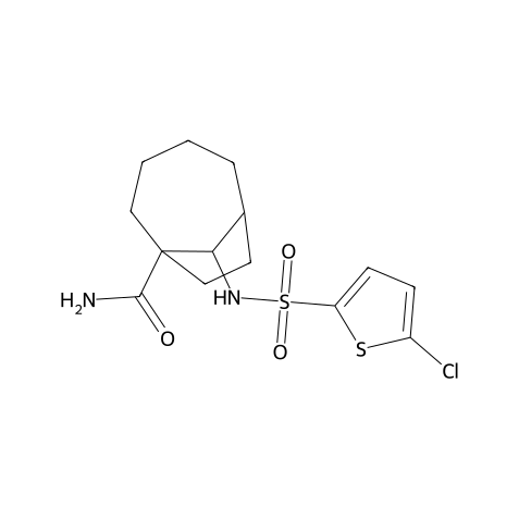 NC(=O)C12CCCCC(CC1)C2NS(=O)(=O)c1ccc(Cl)s1